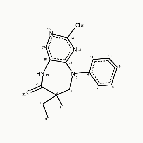 CCC1(C)CN(c2ccccc2)c2nc(Cl)ncc2NC1=O